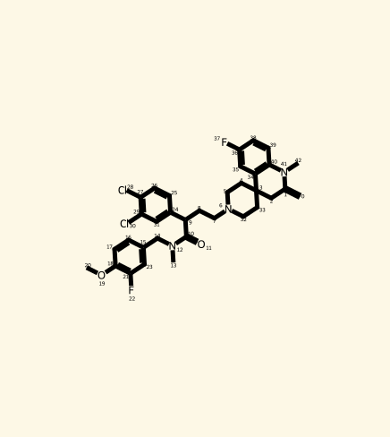 C=C1CC2(CCN(CCC(C(=O)N(C)Cc3ccc(OC)c(F)c3)c3ccc(Cl)c(Cl)c3)CC2)c2cc(F)ccc2N1C